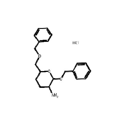 Cl.NC1CCC(COCc2ccccc2)OC1OCc1ccccc1